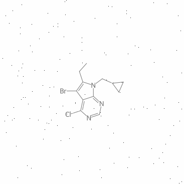 CCc1c(Br)c2c(Cl)ncnc2n1CC1CC1